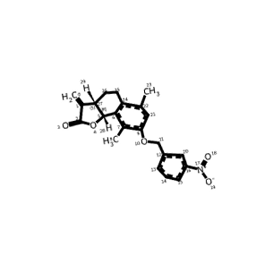 C=C1C(=O)O[C@H]2c3c(C)c(OCc4cccc([N+](=O)[O-])c4)cc(C)c3CC[C@@H]12